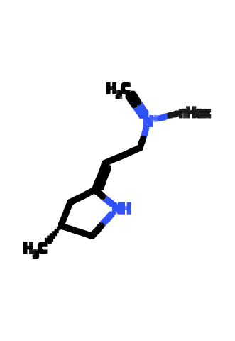 C=[N+](C/C=C1/C[C@@H](C)CN1)CCCCCC